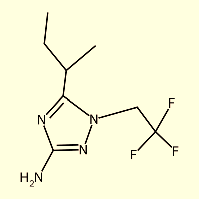 CCC(C)c1nc(N)nn1CC(F)(F)F